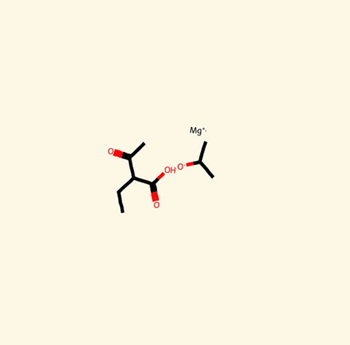 CC(C)[O-].CCC(C(C)=O)C(=O)O.[Mg+]